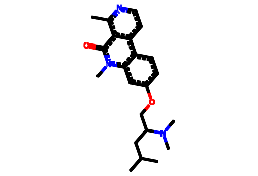 Cc1nccc2c1c(=O)n(C)c1cc(OCC(CC(C)C)N(C)C)ccc21